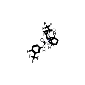 O=C(Nc1ccc(F)c(C(F)(F)F)c1)[C@@H]1[C@H](NC(=O)C(F)(F)F)[C@@H]2CC[C@H]1/C2=C/C1CC1